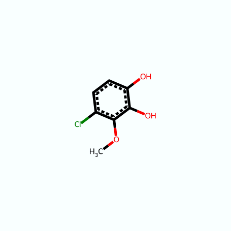 COc1c(Cl)ccc(O)c1O